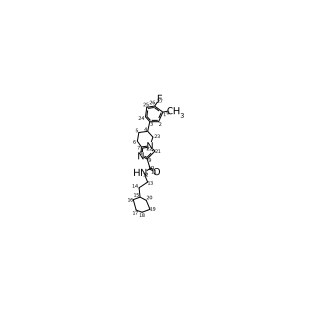 Cc1cc(C2CCc3nc(C(=O)NCCC4CCCCC4)cn3C2)ccc1F